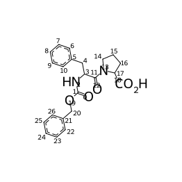 O=C(NC(Cc1ccccc1)C(=O)N1CCCC1C(=O)O)OCc1ccccc1